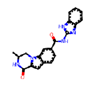 CC1Cn2c(cc3ccc(C(=O)Nc4nc5ccccc5[nH]4)cc32)C(=O)N1